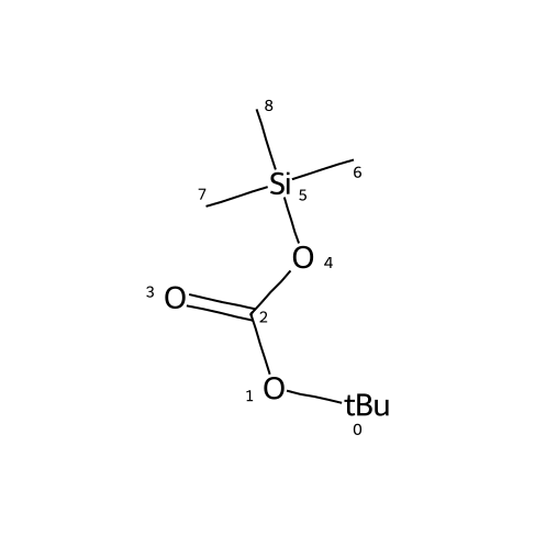 CC(C)(C)OC(=O)O[Si](C)(C)C